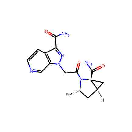 CC[C@H]1C[C@@H]2C[C@@]2(C(N)=O)N1C(=O)Cn1nc(C(N)=O)c2ccncc21